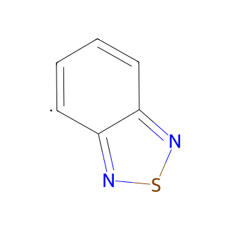 [c]1cccc2nsnc12